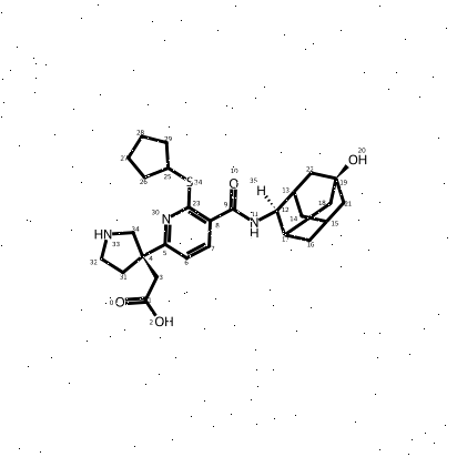 O=C(O)C[C@@]1(c2ccc(C(=O)N[C@H]3C4CC5CC3C[C@@](O)(C5)C4)c(SC3CCCC3)n2)CCNC1